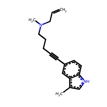 C=CCN(C)CCCC#Cc1ccc2[nH]cc(C)c2c1